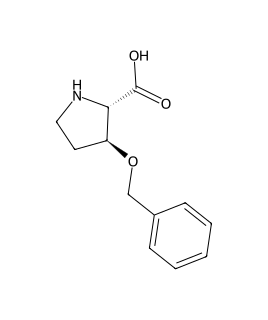 O=C(O)[C@H]1NCC[C@@H]1OCc1ccccc1